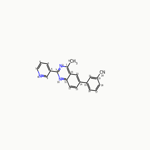 Cc1nc(-c2cccnc2)nc2ccc(-c3cccc(C#N)c3)cc12